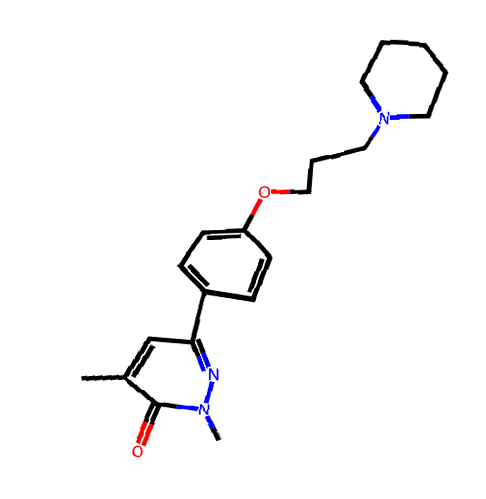 Cc1cc(-c2ccc(OCCCN3CCCCC3)cc2)nn(C)c1=O